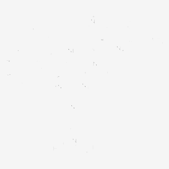 C=CC(=O)N1CCN(c2nc(N3CC(N(C)C)C3)nc3c2NC(=O)C2(CCCc4ccccc42)C3)CC1CN